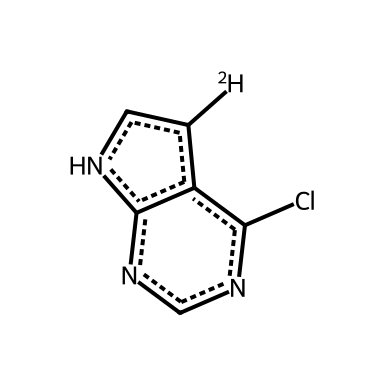 [2H]c1c[nH]c2ncnc(Cl)c12